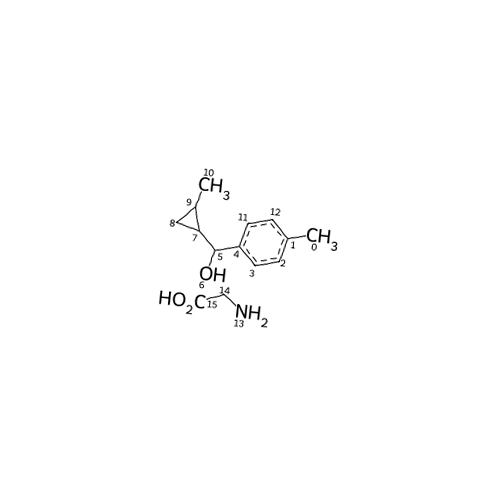 Cc1ccc(C(O)C2CC2C)cc1.NCC(=O)O